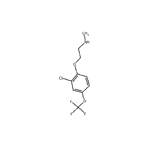 CNCCOc1ccc(OC(F)(F)F)cc1Cl